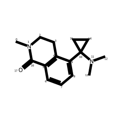 CN1CCc2c(cccc2C2(N(C)C)CC2)C1=O